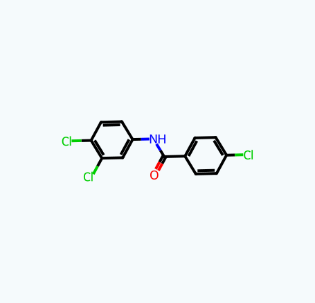 O=C(Nc1ccc(Cl)c(Cl)c1)c1ccc(Cl)cc1